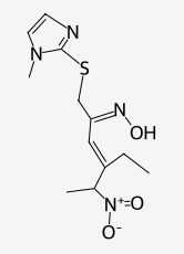 CCC(=CC(CSc1nccn1C)=NO)C(C)[N+](=O)[O-]